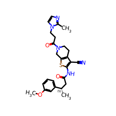 COc1cccc([C@@H](C)CC(=O)Nc2sc3c(c2C#N)CCN(C(=O)CCn2ccnc2C)C3)c1